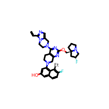 C=Cc1ncc2n1CCN(c1nc(OC[C@@]34CCCN3C[C@H](F)C4)nc3c1CCN(c1cc(O)cc4ccc(F)c(CC)c14)C3)C2